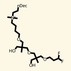 CCCCCCCCCCCC[N+](C)(C)CCCCOCC(C)(CO)COCC(C)(CO)COCCC(F)F